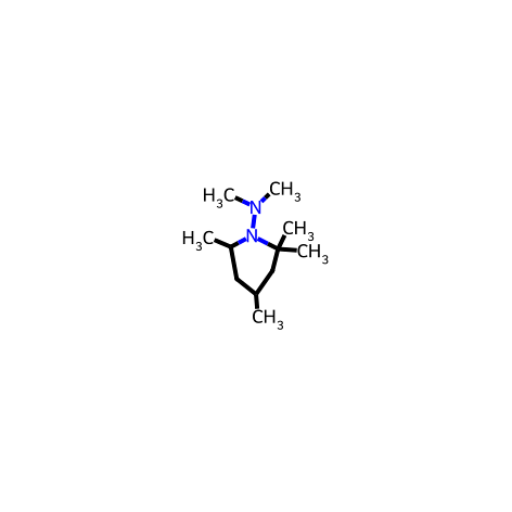 CC1CC(C)N(N(C)C)C(C)(C)C1